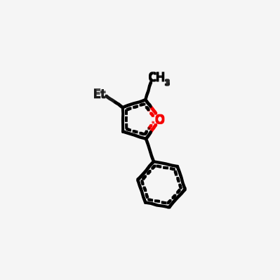 CCc1cc(-c2ccccc2)oc1C